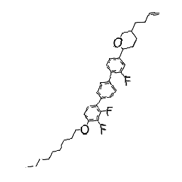 C=CCCC1CCC(c2ccc(-c3ccc(-c4ccc(OCCCCCCCCC)c(F)c4F)cc3)c(F)c2)OC1